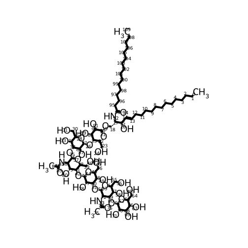 CCCCCCCCCCCCC/C=C/[C@@H](O)[C@H](CO[C@@H]1OC(CO)[C@@H](O[C@@H]2OC(CO)[C@H](O)[C@H](O[C@@H]3OC(CO)[C@@H](O[C@@H]4OC(CO)[C@H](O)[C@H](O[C@@H]5OC(CO)[C@@H](O)[C@H](O[C@@H]6OC(CO)[C@H](O)[C@H](O)C6O)C5NC(C)=O)C4O)[C@H](O)C3NC(C)=O)C2O)[C@H](O)C1O)NC(=O)CCCCCCCCCCCCCCC